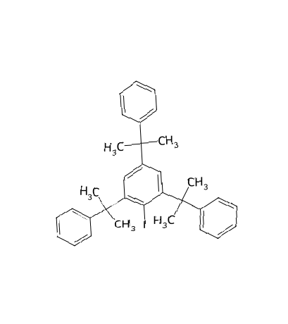 CC(C)(c1ccccc1)c1cc(C(C)(C)c2ccccc2)c(I)c(C(C)(C)c2ccccc2)c1